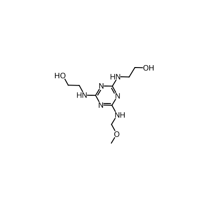 COCNc1nc(NCCO)nc(NCCO)n1